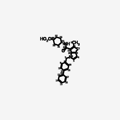 Cc1sc2ccn(Cc3ccc(-c4ccccc4)cc3)c2c1C(=O)N[C@H]1CC[C@H](C(=O)O)CC1